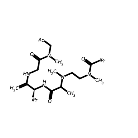 C=C(NCC(=O)N(C)CC(C)=O)[C@@H](NC(=O)C(C)N(C)CCN(C)C(=O)C(C)C)C(C)C